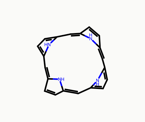 C1=c2/cc/c([nH]2)=C/c2ccc([nH]2)/C=c2/cc/c([nH]2)=C/c2ccc/1[nH]2